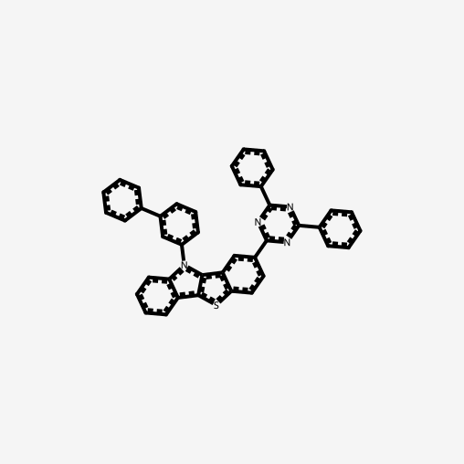 c1ccc(-c2cccc(-n3c4ccccc4c4sc5ccc(-c6nc(-c7ccccc7)nc(-c7ccccc7)n6)cc5c43)c2)cc1